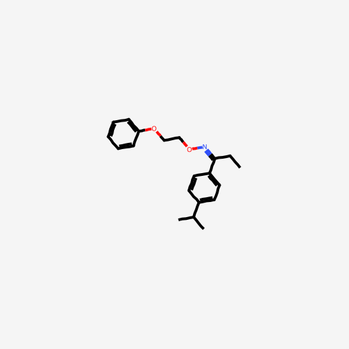 CCC(=NOCCOc1c[c]ccc1)c1ccc(C(C)C)cc1